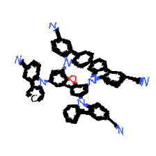 N#Cc1ccc2c(c1)c1ccccc1n2-c1cc(-n2c3ccccc3c3cc(C#N)ccc32)c2oc3c(-n4c5ccccc5c5cc(C#N)ccc54)cc(-n4c5ccccc5c5cc(C#N)ccc54)cc3c2c1